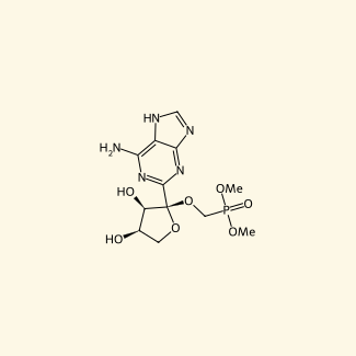 COP(=O)(CO[C@@]1(c2nc(N)c3[nH]cnc3n2)OC[C@@H](O)[C@H]1O)OC